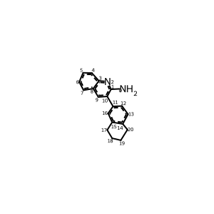 Nc1nc2ccccc2cc1-c1ccc2c(c1)CCCC2